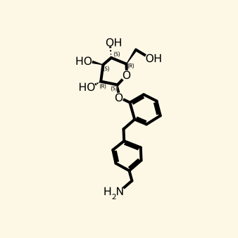 NCc1ccc(Cc2ccccc2O[C@@H]2O[C@H](CO)[C@@H](O)[C@H](O)[C@H]2O)cc1